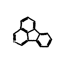 c1ccc2c(c1)-c1cccc3cncc-2c13